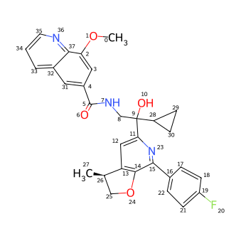 COc1cc(C(=O)NCC(O)(c2cc3c(c(-c4ccc(F)cc4)n2)OC[C@H]3C)C2CC2)cc2cccnc12